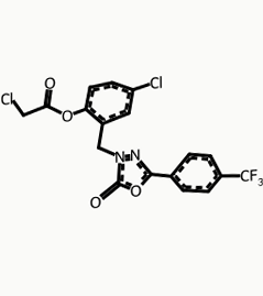 O=C(CCl)Oc1ccc(Cl)cc1Cn1nc(-c2ccc(C(F)(F)F)cc2)oc1=O